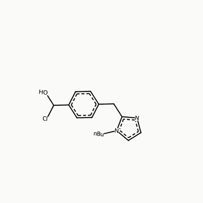 CCCCn1ccnc1Cc1ccc(C(O)Cl)cc1